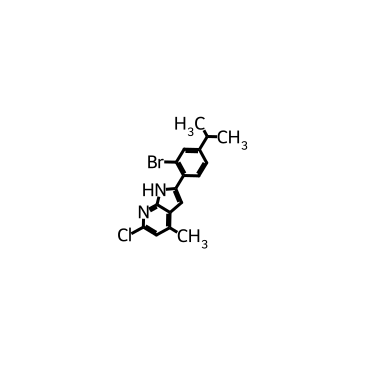 Cc1cc(Cl)nc2[nH]c(-c3ccc(C(C)C)cc3Br)cc12